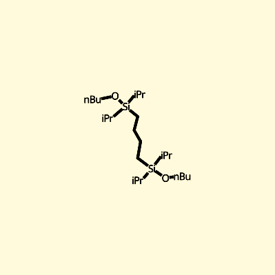 CCCCO[Si](CCCC[Si](OCCCC)(C(C)C)C(C)C)(C(C)C)C(C)C